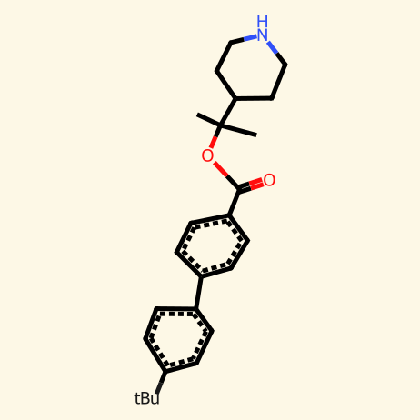 CC(C)(C)c1ccc(-c2ccc(C(=O)OC(C)(C)C3CCNCC3)cc2)cc1